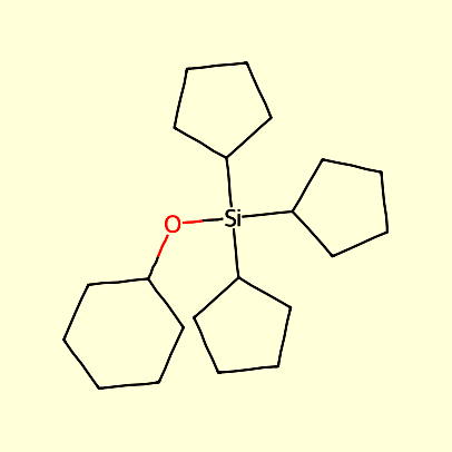 C1CCC(O[Si](C2CCCC2)(C2CCCC2)C2CCCC2)CC1